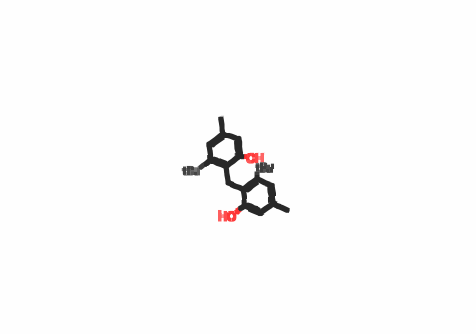 Cc1cc(O)c(Cc2c(O)cc(C)cc2C(C)(C)C)c(C(C)(C)C)c1